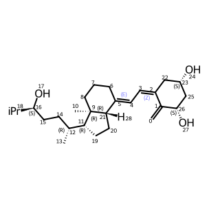 C=C1/C(=C\C=C2/CCC[C@]3(C)[C@@H]([C@H](C)CC[C@H](O)C(C)C)CC[C@@H]23)C[C@H](O)C[C@@H]1O